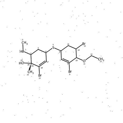 CBC1CC(SC2C=C(Br)C(OCC)C(Br)C2)C=C(Br)[C@]1(C)O